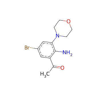 CC(=O)c1cc(Br)cc(N2CCOCC2)c1N